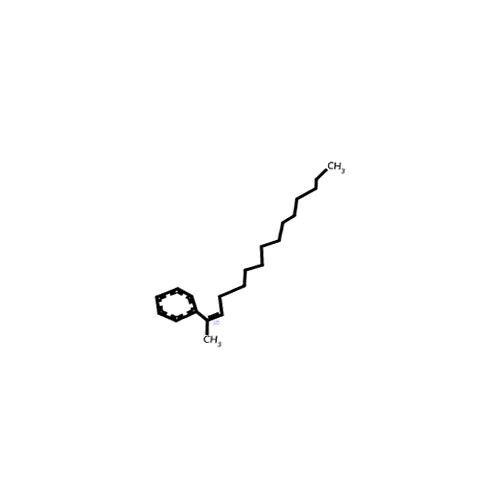 CCCCCCCCCCCC/C=C(/C)c1ccccc1